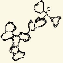 O=P(c1ccccc1)(c1ccccc1)c1ccc2cc(-c3ccc4c(c3)c3c5ccccc5ccc3c3nc5ccccc5n43)ccc2c1